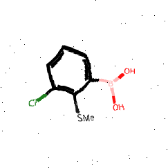 CSc1c(Cl)cccc1B(O)O